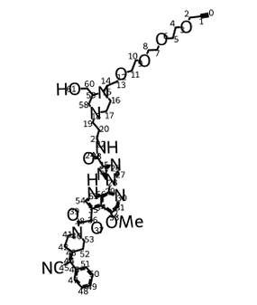 C#CCOCCOCCOCCOCCN1CCN(CCCNC(=O)c2ncn(-c3ncc(OC)c4c(C(=O)C(=O)N5CCC(=C(C#N)c6ccccc6)CC5)c[nH]c34)n2)CC1CO